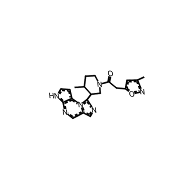 Cc1cc(CC(=O)N2CCC(C)C(c3ncc4cnc5[nH]ccc5n34)C2)on1